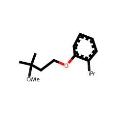 COC(C)(C)CCOc1ccccc1C(C)C